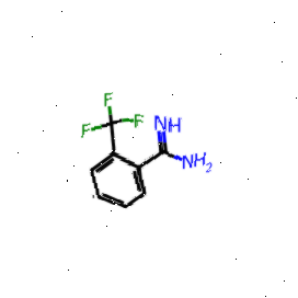 N=C(N)c1cc[c]cc1C(F)(F)F